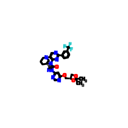 CC1(C)OC[C@H](COc2cc(NC(=O)N3c4nc(-c5cccc(C(F)(F)F)c5)ncc4N4CCC[C@H]3C4)ncn2)O1